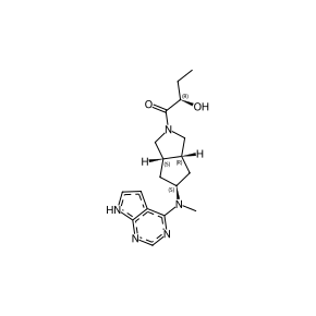 CC[C@@H](O)C(=O)N1C[C@H]2C[C@H](N(C)c3ncnc4[nH]ccc34)C[C@H]2C1